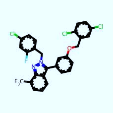 Fc1cc(Cl)ccc1Cn1nc2c(C(F)(F)F)cccc2c1-c1cccc(OCc2cc(Cl)ccc2Cl)c1